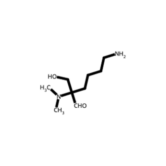 CN(C)C(C=O)(CO)CCCCN